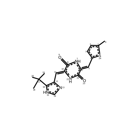 Cc1ccc(/C=c2\[nH]c(=O)/c(=C/c3nc[nH]c3C(C)(C)C)[nH]c2=O)s1